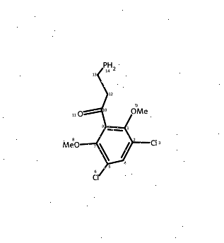 COc1c(Cl)cc(Cl)c(OC)c1C(=O)CCP